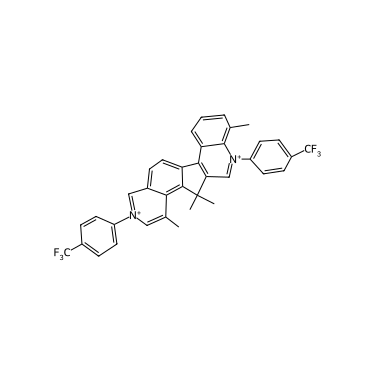 Cc1c[n+](-c2ccc(C(F)(F)F)cc2)cc2ccc3c(c12)C(C)(C)c1c[n+](-c2ccc(C(F)(F)F)cc2)c2c(C)cccc2c1-3